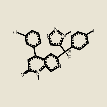 Cn1nncc1[C@@](F)(c1ccc(I)cc1)c1cc2c(-c3cccc(Cl)c3)cc(=O)n(C)c2cn1